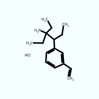 C=Cc1cccc(C(CC)C(N)(CC)CC)c1.Cl